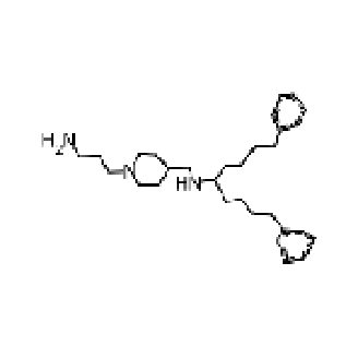 NCCCN1CCC(CNC(CCCCc2ccccc2)CCCCc2ccccc2)CC1